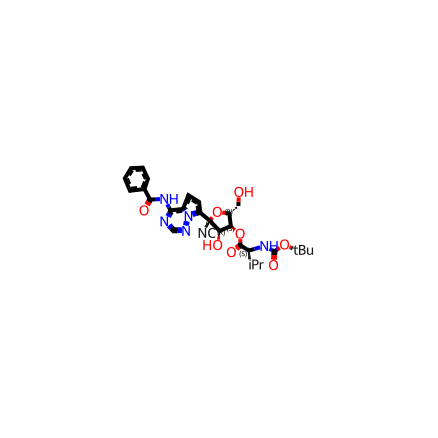 CC(C)[C@H](NC(=O)OC(C)(C)C)C(=O)O[C@H]1[C@@H](O)[C@](C#N)(c2ccc3c(NC(=O)c4ccccc4)ncnn23)O[C@@H]1CO